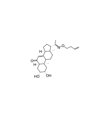 C=CCCON=C(C)[C@H]1CC[C@@H]2C3=CC(=O)[C@@H]4C[C@@H](O)[C@@H](O)C[C@]4(C)C3CC[C@@]21C